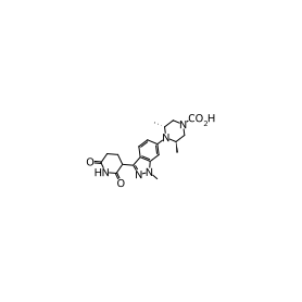 C[C@@H]1CN(C(=O)O)C[C@@H](C)N1c1ccc2c(C3CCC(=O)NC3=O)nn(C)c2c1